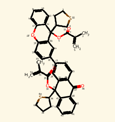 C=C(C)C(=O)OC1(C2CCSC2)c2ccccc2Oc2ccc(-c3ccc4c(c3)C(OC(=O)C(=C)C)(C3CCCS3)c3ccccc3C4=O)cc21